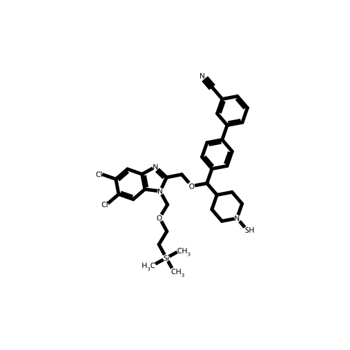 C[Si](C)(C)CCOCn1c(COC(c2ccc(-c3cccc(C#N)c3)cc2)C2CCN(S)CC2)nc2cc(Cl)c(Cl)cc21